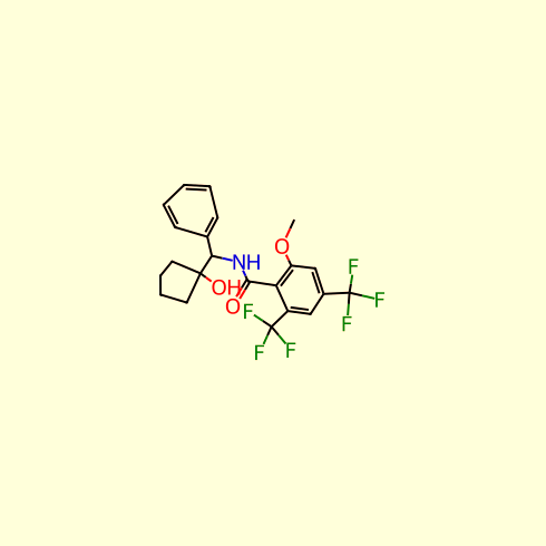 COc1cc(C(F)(F)F)cc(C(F)(F)F)c1C(=O)NC(c1ccccc1)C1(O)CCCC1